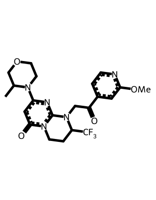 COc1cc(C(=O)CN2c3nc(N4CCOCC4C)cc(=O)n3CCC2C(F)(F)F)ccn1